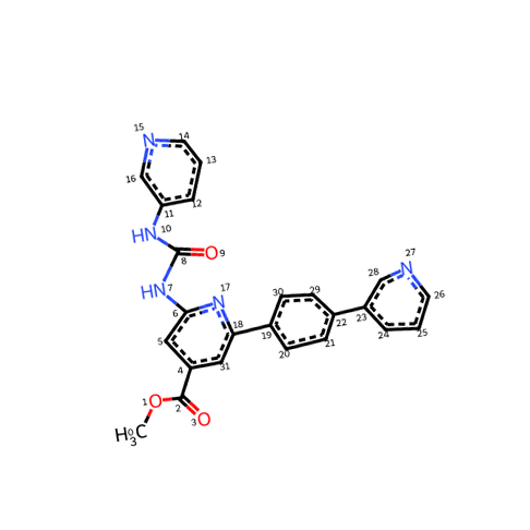 COC(=O)c1cc(NC(=O)Nc2cccnc2)nc(-c2ccc(-c3cccnc3)cc2)c1